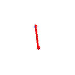 CC(C)(C)OC(=O)NCCOCCOCCOCCOCCOCCOCCOCCOCCOCCOCCOCCOCCC(=O)ON1C(=O)CCC1=O